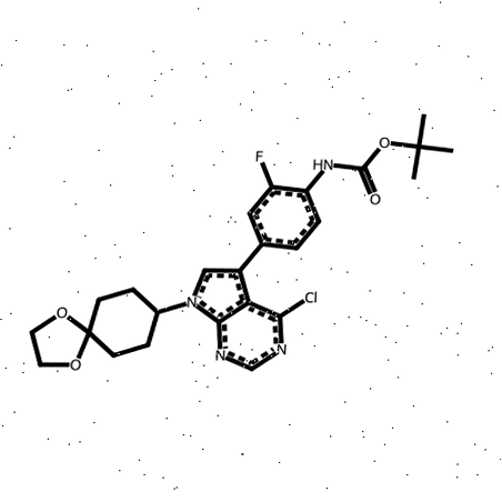 CC(C)(C)OC(=O)Nc1ccc(-c2cn(C3CCC4(CC3)OCCO4)c3ncnc(Cl)c23)cc1F